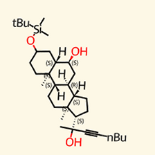 CCCCC#CC(C)(O)[C@H]1CC[C@H]2[C@@H]3C[C@H](O)[C@H]4CC(O[Si](C)(C)C(C)(C)C)CC[C@]4(C)[C@H]3CC[C@]12C